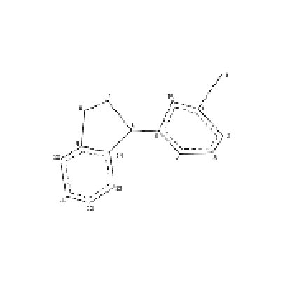 Cc1cccc(C2CCc3ccccc32)c1